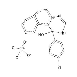 OC1(c2ccc(Cl)cc2)NC=N[n+]2ccc3ccccc3c21.[O-][Cl+3]([O-])([O-])[O-]